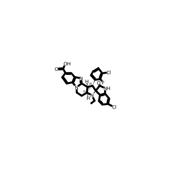 CCN1[C@H]2CCn3c(nc4cc(C(=O)O)ccc43)[C@H]2[C@H](c2cccc(Cl)c2F)[C@]12C(=O)Nc1cc(Cl)ccc12